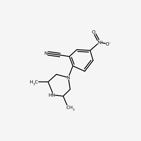 CC1CN(c2ccc([N+](=O)[O-])cc2C#N)CC(C)N1